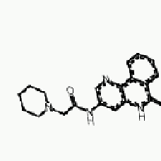 O=C(CN1CCCCC1)Nc1cnc2c(c1)[nH]c(=O)c1ccccc12